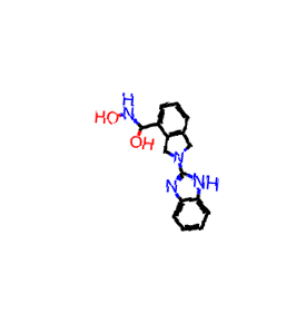 ONC(O)c1cccc2c1CN(c1nc3ccccc3[nH]1)C2